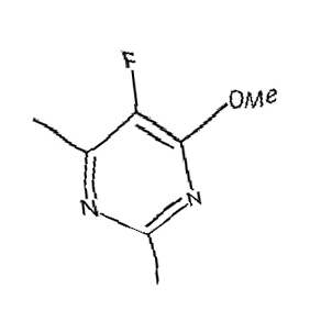 COc1nc(C)nc(C)c1F